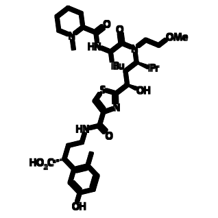 CCC(C)C(NC(=O)C1CCCCN1C)C(=O)N(CCOC)[C@H](C[C@@H](O)c1nc(C(=O)NCC[C@@H](C(=O)O)c2cc(O)ccc2C)cs1)C(C)C